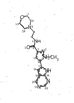 Cn1nc(C(=O)NCCN2CCOCC2)cc1-c1cc2cncnc2[nH]1